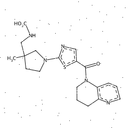 CC1(CNC(=O)O)CCN(c2ncc(C(=O)N3CCCc4ncccc43)s2)C1